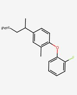 CCCC(C)CC(C)c1ccc(Oc2ccccc2F)c(C)c1